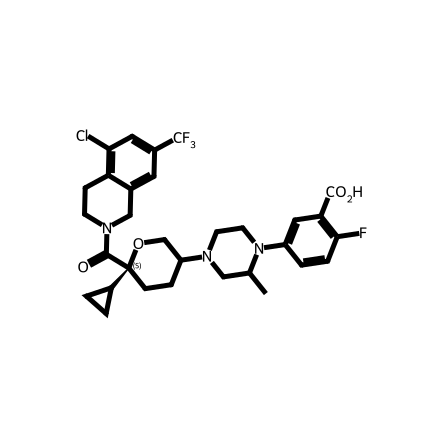 CC1CN(C2CC[C@@](C(=O)N3CCc4c(Cl)cc(C(F)(F)F)cc4C3)(C3CC3)OC2)CCN1c1ccc(F)c(C(=O)O)c1